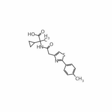 Cc1ccc(-c2nc(CC(=O)NC(C)(C(=O)O)C3CC3)cs2)cc1